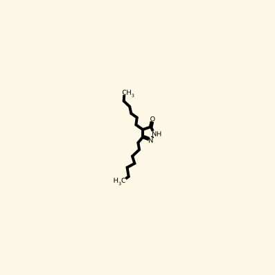 CCCCCCCC1=NNC(=O)C1CCCCCC